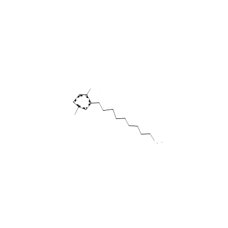 CCCCCCCCCCCCCCCCCCCc1cc(C(=O)O)ccc1C(=O)O